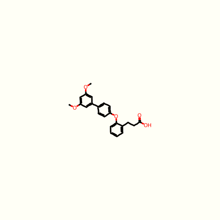 COc1cc(OC)cc(-c2ccc(Oc3ccccc3CCC(=O)O)cc2)c1